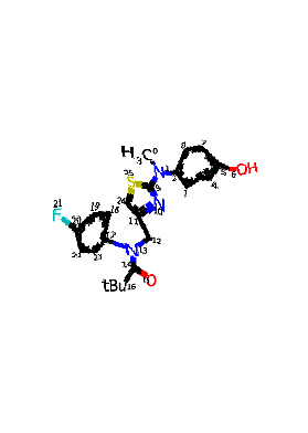 CN(c1ccc(O)cc1)c1nc(CN(C(=O)C(C)(C)C)c2ccc(F)cc2)cs1